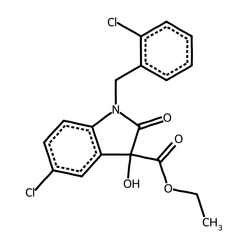 CCOC(=O)C1(O)C(=O)N(Cc2ccccc2Cl)c2ccc(Cl)cc21